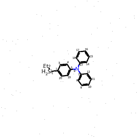 CC[SiH2]c1ccc(N(c2ccccc2)c2ccccc2)cc1